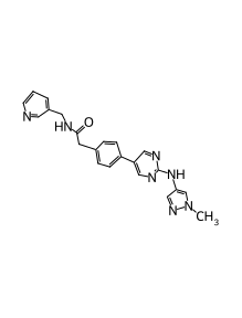 Cn1cc(Nc2ncc(-c3ccc(CC(=O)NCc4cccnc4)cc3)cn2)cn1